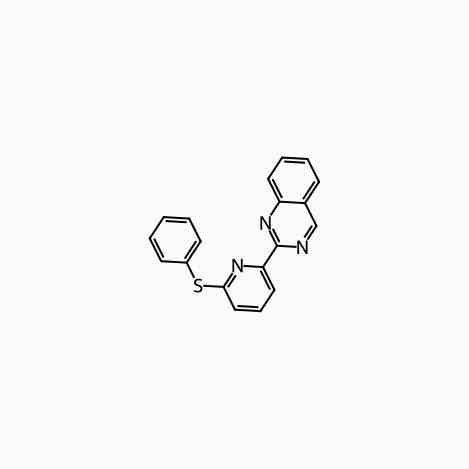 c1ccc(Sc2cccc(-c3ncc4ccccc4n3)n2)cc1